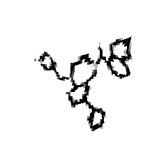 O=C(c1cccc2ccccc12)N1CCN(Cc2c[nH]cn2)c2ncc(-c3ccccc3)cc2C1